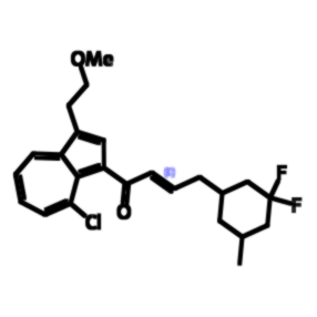 COCCc1cc(C(=O)/C=C/CC2CC(C)CC(F)(F)C2)c2c(Cl)ccccc1-2